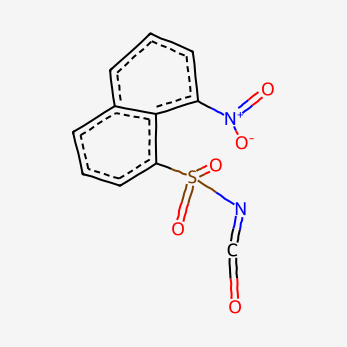 O=C=NS(=O)(=O)c1cccc2cccc([N+](=O)[O-])c12